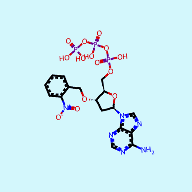 Nc1ncnc2c1ncn2[C@H]1C[C@H](OCc2ccccc2[N+](=O)[O-])[C@@H](COP(=O)(O)OP(=O)(O)OP(=O)(O)O)O1